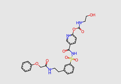 O=C(COc1ccccc1)NCCc1cccc(S(=O)(=O)NC(=O)c2ccc(OC(=O)NCCO)nc2)c1